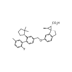 Cc1ccc(F)c(-c2ccc(COc3ccc4c(c3)[C@@]3(CC4)[C@@H](C)[C@@H]3C(=O)O)cc2[C@H]2CCCC2(C)C)c1